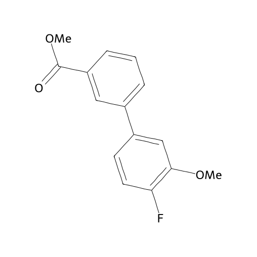 COC(=O)c1cccc(-c2ccc(F)c(OC)c2)c1